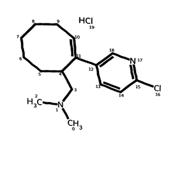 CN(C)CC1CCCCCC=C1c1ccc(Cl)nc1.Cl